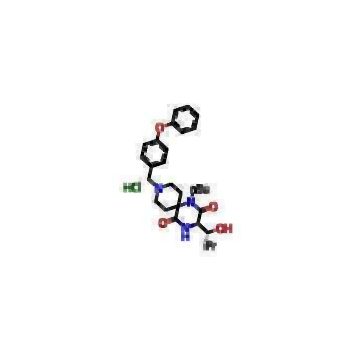 CCCCN1C(=O)[C@@H]([C@H](O)C(C)C)NC(=O)C12CCN(Cc1ccc(Oc3ccccc3)cc1)CC2.Cl